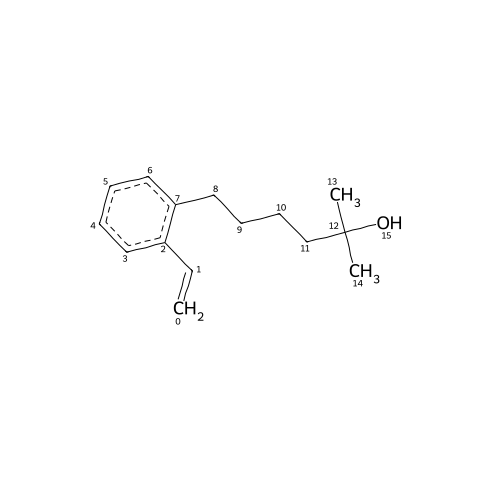 C=Cc1ccccc1CCCCC(C)(C)O